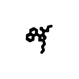 CCCCn1cc(C(=O)OCC)c(-c2cccc3ccccc23)n1